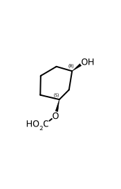 O=C(O)O[C@H]1CCC[C@@H](O)C1